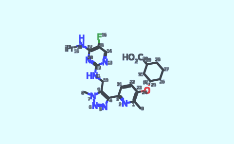 Cc1nc(-c2nnn(C)c2CNc2ncc(F)c(NC(C)C)n2)ccc1O[C@H]1CCCC(C(=O)O)C1